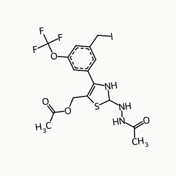 CC(=O)NNC1NC(c2cc(CI)cc(OC(F)(F)F)c2)=C(COC(C)=O)S1